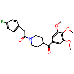 COc1cc(C(=O)C2CCN(C(=O)Cc3ccc(F)cc3)CC2)cc(OC)c1OC